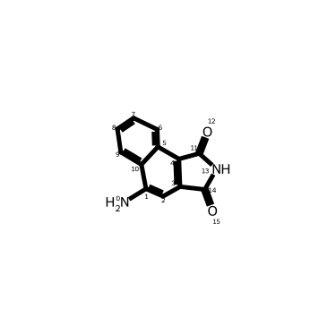 Nc1cc2c(c3ccccc13)C(=O)NC2=O